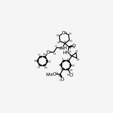 COC(=O)c1ccc(C2(NC(=O)C3(NCCOc4ccccc4)CCOCC3)CC2)cc1Cl